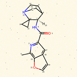 Cc1nc(C(=O)N[C@@H]2C3CCN(CC3)C23CC3)cc2ccoc12